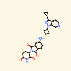 O=C1CCC(N2C(=O)c3ccc(NC[C@H]4C[C@H](n5nc(C6CC6)c6ccncc65)C4)cc3C2=O)C(=O)N1